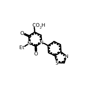 CCn1c(=O)c(C(=O)O)cn(-c2ccc3ncsc3c2)c1=O